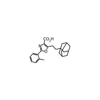 Cc1ccccc1-c1nc(C(=O)O)c(CCC23CC4CC(CC(C4)C2)C3)o1